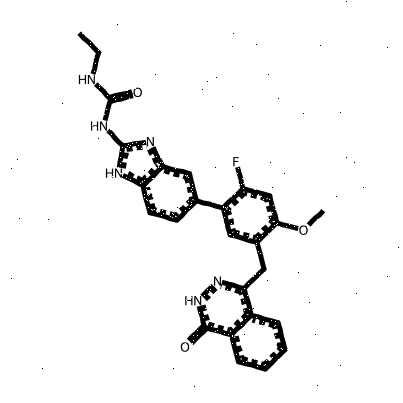 CCNC(=O)Nc1nc2cc(-c3cc(Cc4n[nH]c(=O)c5ccccc45)c(OC)cc3F)ccc2[nH]1